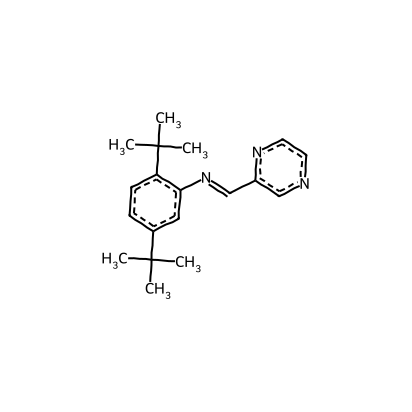 CC(C)(C)c1ccc(C(C)(C)C)c(N=Cc2cnccn2)c1